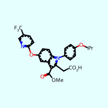 COC(=O)c1c(CC(=O)O)n(-c2ccc(OC(C)C)cc2)c2ccc(Oc3ccc(C(F)(F)F)cn3)cc12